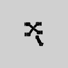 O[Si](O)(O)O.[O]=[Cr]